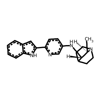 C[C@@H]1[C@@H](Nc2ccc(-c3cc4ccccc4[nH]3)nc2)C2CCN1CC2